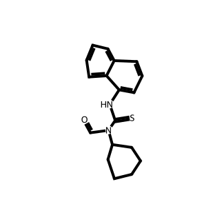 O=CN(C(=S)Nc1cccc2ccccc12)C1CCCCC1